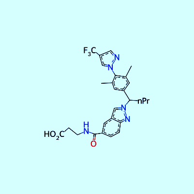 CCCC(c1cc(C)c(-n2cc(C(F)(F)F)cn2)c(C)c1)n1cc2cc(C(=O)NCCC(=O)O)ccc2n1